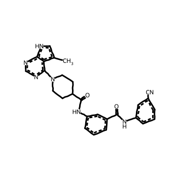 Cc1c[nH]c2ncnc(N3CCC(C(=O)Nc4cccc(C(=O)Nc5cccc(C#N)c5)c4)CC3)c12